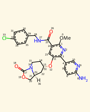 COc1nc(-c2ccc(N)nc2)c(O[C@H]2CCN3C(=O)OC[C@@H]3C2)cc1C(=O)NCc1ccc(Cl)cc1